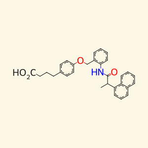 CC(C(=O)Nc1ccccc1COc1ccc(CCCC(=O)O)cc1)c1cccc2ccccc12